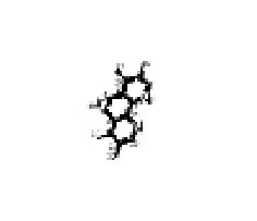 Cc1cnc2c(ccc3c(C)c(C)cnc32)c1C.[Ir+]